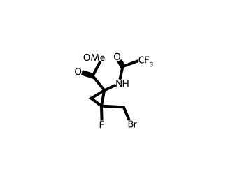 COC(=O)C1(NC(=O)C(F)(F)F)CC1(F)CBr